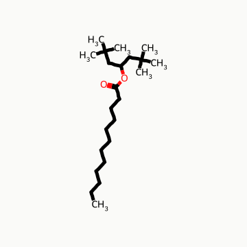 CCCCCCCCCCCC(=O)OC(CC(C)(C)C)CC(C)(C)C